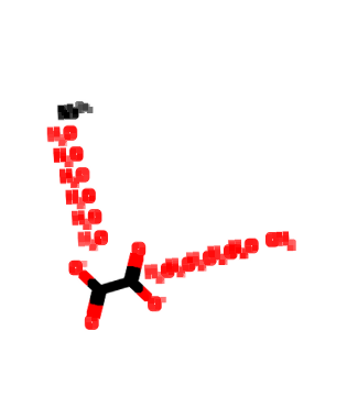 O.O.O.O.O.O.O.O.O.O.O.O.O=C([O-])C(=O)[O-].[Nb+2]